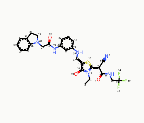 CCn1c(=C(C#N)C(=O)NCC(F)(F)F)sc(=CNc2cccc(NC(=O)CN3CCc4ccccc43)c2)c1=O